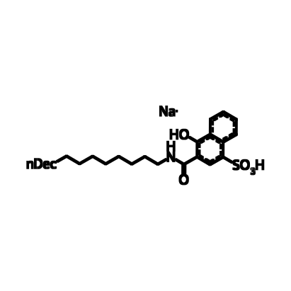 CCCCCCCCCCCCCCCCCCNC(=O)c1cc(S(=O)(=O)O)c2ccccc2c1O.[Na]